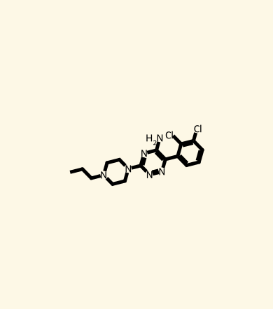 CCCN1CCN(c2nnc(-c3cccc(Cl)c3Cl)c(N)n2)CC1